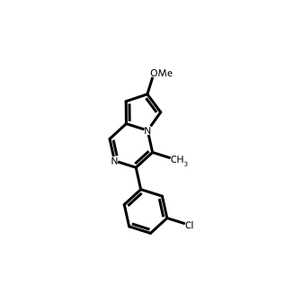 COc1cc2cnc(-c3cccc(Cl)c3)c(C)n2c1